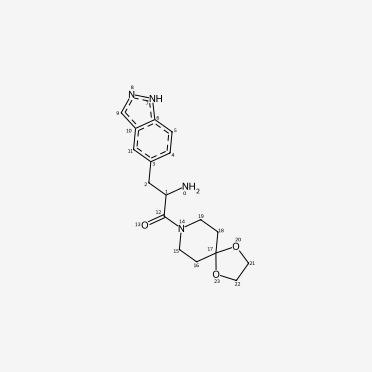 NC(Cc1ccc2[nH]ncc2c1)C(=O)N1CCC2(CC1)OCCO2